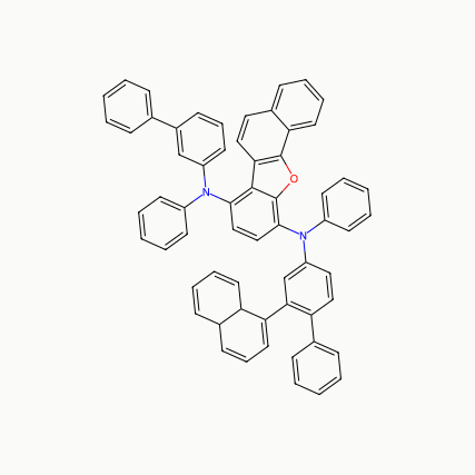 C1=CC2C=CC=C(c3cc(N(c4ccccc4)c4ccc(N(c5ccccc5)c5cccc(-c6ccccc6)c5)c5c4oc4c6ccccc6ccc45)ccc3-c3ccccc3)C2C=C1